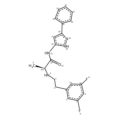 C[C@H](NCCc1cc(F)cc(F)c1)C(=O)Nc1cc(-c2ccccc2)n[nH]1